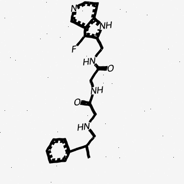 CC(CNCC(=O)NCC(=O)NCc1[nH]c2ccncc2c1F)c1ccccc1